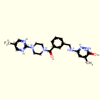 Cc1cc(NCc2cccc(C(=O)N3CCN(c4ncc(C(F)(F)F)cn4)CC3)c2)n[nH]c1=O